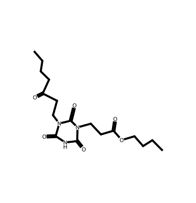 CCCCOC(=O)CCn1c(=O)[nH]c(=O)n(CCC(=O)CCCC)c1=O